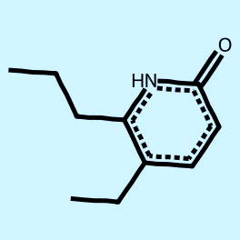 CCCc1[nH]c(=O)ccc1CC